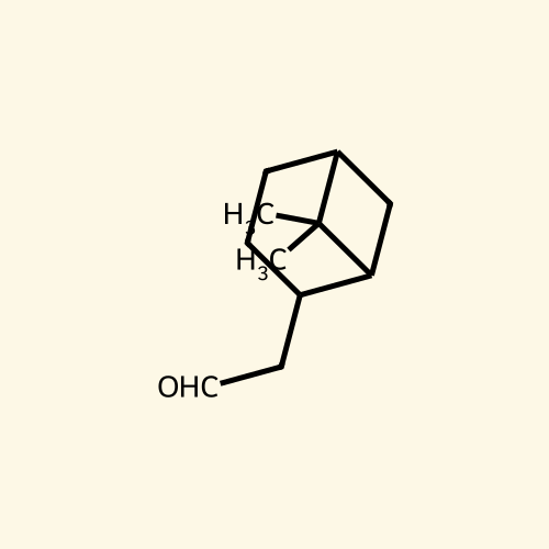 CC1(C)C2CCC(CC=O)C1C2